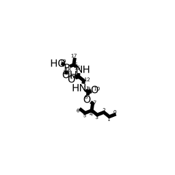 CCCCC(CC)COC(=O)NCC(=O)NC(C)P(O)O